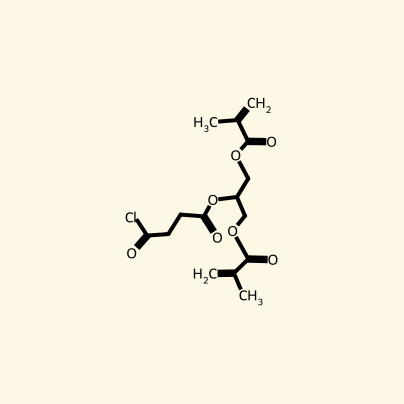 C=C(C)C(=O)OCC(COC(=O)C(=C)C)OC(=O)CCC(=O)Cl